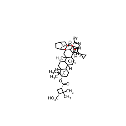 Cc1nnc(C(C)C)n1C1CC2CCC(C1)N2C(=O)[C@]12CC[C@@H](C3CC3)[C@@H]1[C@H]1CC[C@@H]3[C@@]4(C)CC[C@H](OC(=O)[C@H]5C[C@@H](C(=O)O)C5(C)C)C(C)(C)[C@@H]4CC[C@@]3(C)[C@]1(C)CC2